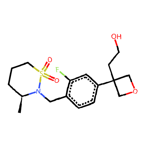 C[C@H]1CCCS(=O)(=O)N1Cc1ccc(C2(CCO)COC2)cc1F